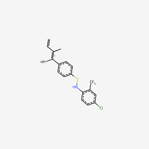 C=C/C(C)=C(\CCC)c1ccc(SNc2ccc(Cl)cc2C(F)(F)F)cc1